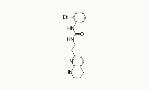 CCc1ccccc1NC(=O)NCCc1ccc2c(n1)NCCC2